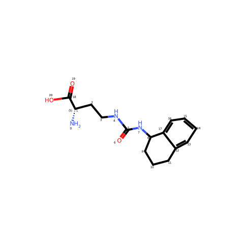 N[C@@H](CCNC(=O)NC1CCCc2ccccc21)C(=O)O